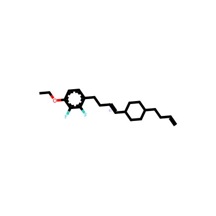 C=CCCC1CCC(/C=C/CCc2ccc(OCC)c(F)c2F)CC1